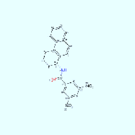 O=C(N[C@@H]1CCCc2c1ccc1ccccc21)c1cc([N+](=O)[O-])cc([N+](=O)[O-])c1